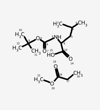 CC(C)CC(NC(=O)OC(C)(C)C)C(=O)O.CCC(=O)OC